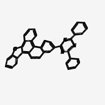 c1ccc(-c2nc(-c3ccccc3)nc(-c3ccc4c(ccc5c4c4ccccc4c4oc6ccccc6c54)c3)n2)cc1